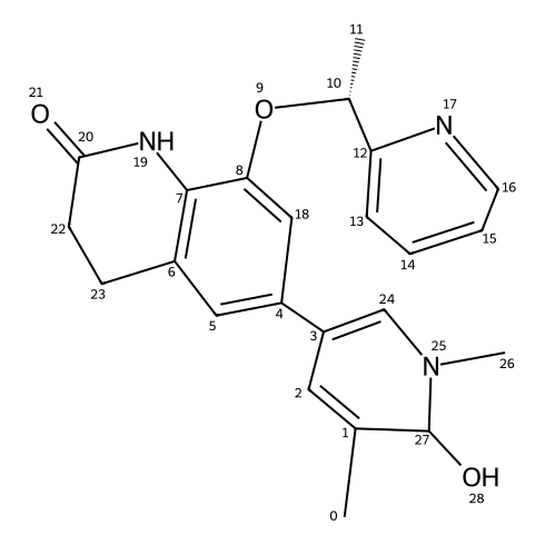 CC1=CC(c2cc3c(c(O[C@H](C)c4ccccn4)c2)NC(=O)CC3)=CN(C)C1O